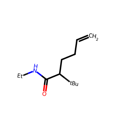 C=CCCC(C(=O)NCC)C(C)(C)C